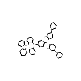 c1ccc(-c2ccc3c(c2)Sc2cc(N4c5ccccc5[Si](c5ccccc5)(c5ccccc5)c5ccccc54)cc4c2B3c2ccc(-c3ccccc3)cc2S4)cc1